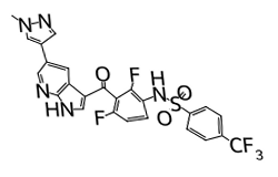 Cn1cc(-c2cnc3[nH]cc(C(=O)c4c(F)ccc(NS(=O)(=O)c5ccc(C(F)(F)F)cc5)c4F)c3c2)cn1